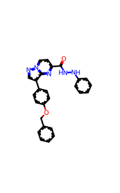 O=C(NNc1ccccc1)c1ccn2ncc(-c3ccc(OCc4ccccc4)cc3)c2n1